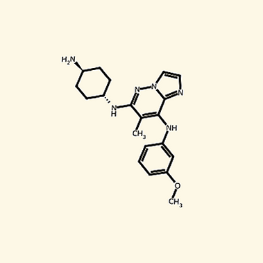 COc1cccc(Nc2c(C)c(N[C@H]3CC[C@H](N)CC3)nn3ccnc23)c1